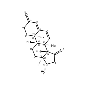 CC(=O)[C@H]1CC(=O)[C@H]2[C@@H]3C=CC4=CC(=O)CC[C@]4(C)[C@H]3CC[C@]12C